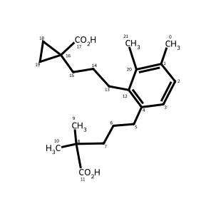 Cc1ccc(CCCC(C)(C)C(=O)O)c(CCCC2(C(=O)O)CC2)c1C